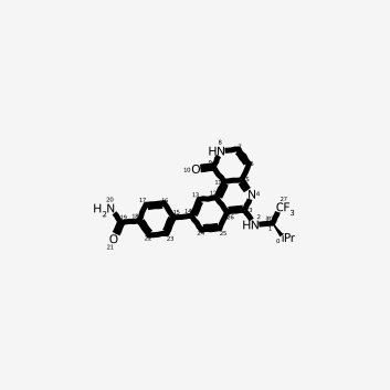 CC(C)[C@@H](Nc1nc2cc[nH]c(=O)c2c2cc(-c3ccc(C(N)=O)cc3)ccc12)C(F)(F)F